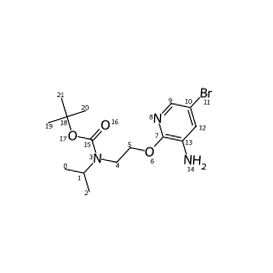 CC(C)N(CCOc1ncc(Br)cc1N)C(=O)OC(C)(C)C